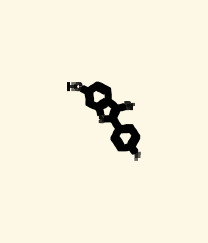 Oc1ccc2c(Br)c(-c3ccc(F)cc3)sc2c1